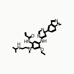 C=CC(=O)Nc1cc(Nc2cc(-c3ccc4c(cnn4C)c3)ncn2)c(OCC)cc1N(C)CCNC(C)C